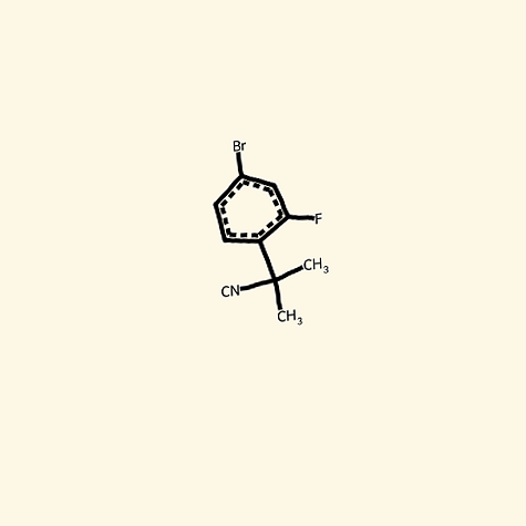 [C-]#[N+]C(C)(C)c1ccc(Br)cc1F